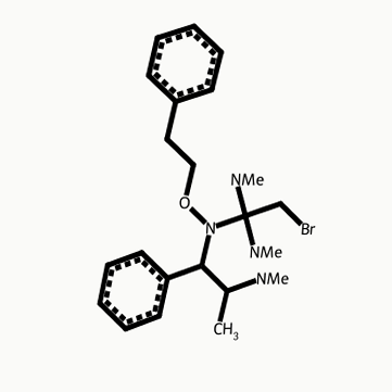 CNC(C)C(c1ccccc1)N(OCCc1ccccc1)C(CBr)(NC)NC